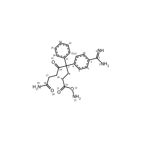 N=C(N)c1ccc(C(CCC(=O)ON)(C(=O)CCC(N)=O)c2ccccc2)cc1